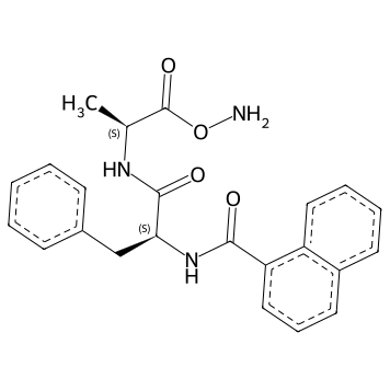 C[C@H](NC(=O)[C@H](Cc1ccccc1)NC(=O)c1cccc2ccccc12)C(=O)ON